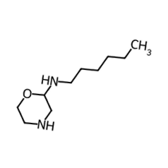 CCCCCCNC1CNCCO1